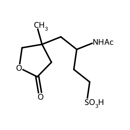 CC(=O)NC(CCS(=O)(=O)O)CC1(C)COC(=O)C1